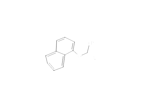 [CH2]C[C@@H](CCC)Oc1cccc2ccccc12